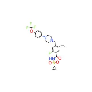 CCc1cc(C(=O)NS(=O)(=O)C2CC2)c(F)cc1CN1CCN(c2ccc(OC(F)(F)F)cc2)CC1